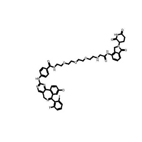 O=C1CCC(N2Cc3c(NC(=O)CNCCOCCOCCOCCNC(=O)c4ccc(Nc5ncc6c(n5)-c5ccc(Cl)cc5C(c5c(F)cccc5F)=NC6)cc4)cccc3C2=O)C(=O)N1